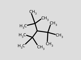 CC(C)(C)[C](C(C)(C)C)C(C)(C)C